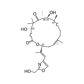 CC(=Cc1coc(CO)n1)[C@@H]1C/C=C(/C)CCC[C@H](C)[C@H](O)[C@@H](C)C(=O)C(C)(C)[C@@H](O)CC(=O)O1